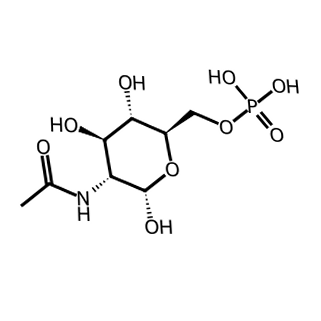 CC(=O)N[C@@H]1[C@@H](O)[C@H](O)[C@@H](COP(=O)(O)O)O[C@@H]1O